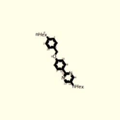 CCCCCCc1ccc(COc2ccc(-c3ncc(CCCCCC)cn3)cc2)cc1